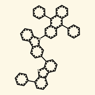 c1ccc(-c2c3ccccc3c(-c3ccccc3)c3cc(-n4c5ccccc5c5ccc(-c6cccc7c6sc6c(-c8ccccc8)cccc67)cc54)ccc23)cc1